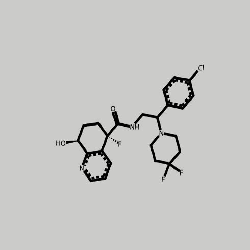 O=C(NCC(c1ccc(Cl)cc1)N1CCC(F)(F)CC1)[C@]1(F)CC[C@H](O)c2ncccc21